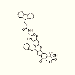 CC[C@@]1(O)C(=O)OCc2c1cc1n(c2=O)Cc2c-1nc1cc(F)c(NC(=O)CNC(=O)OCC3c4ccccc4-c4ccccc43)cc1c2CN1CCCCC1